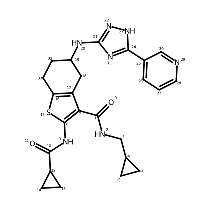 O=C(NCC1CC1)c1c(NC(=O)C2CC2)sc2c1CC(Nc1n[nH]c(-c3cccnc3)n1)CC2